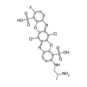 CC(N)CNc1ccc2c(c1S(=O)(=O)O)Oc1c(Cl)c3c(c(Cl)c1=N2)Oc1c(ccc(F)c1S(=O)(=O)O)N=3